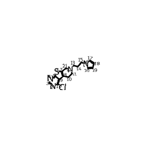 Clc1ncnc2sc3c(c12)CCN(CCCn1cccc1)C3